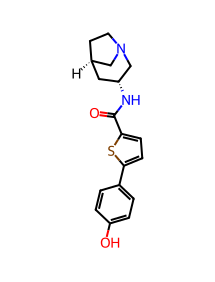 O=C(N[C@@H]1C[C@H]2CCN(C2)C1)c1ccc(-c2ccc(O)cc2)s1